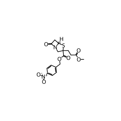 COC(=O)CCC1(C(=O)OCc2ccc([N+](=O)[O-])cc2)CN2C(=O)C[C@H]2S1